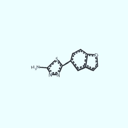 Nc1nnc(-c2ccc3occc3c2)s1